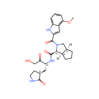 COc1cccc2[nH]c(C(=O)N3C[C@H]4CCC[C@H]4[C@H]3C(=O)N[C@H](C[C@@H]3CCNC3=O)C(=O)CO)cc12